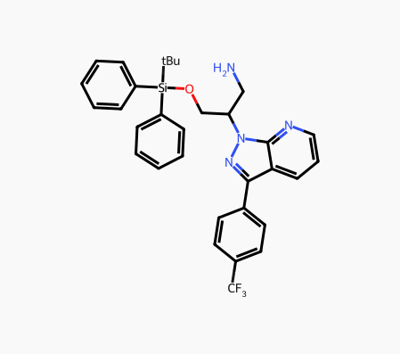 CC(C)(C)[Si](OCC(CN)n1nc(-c2ccc(C(F)(F)F)cc2)c2cccnc21)(c1ccccc1)c1ccccc1